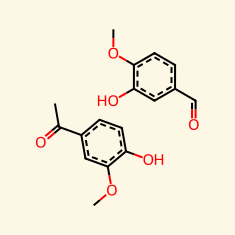 COc1cc(C(C)=O)ccc1O.COc1ccc(C=O)cc1O